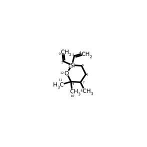 C=C[Si]1(C=C)CCC(C)C(C)(C)O1